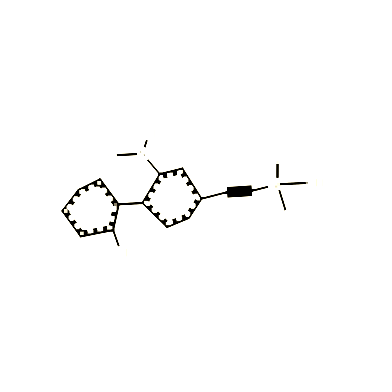 CN(C)c1cc(C#C[Si](C)(C)C)ccc1-c1ccccc1C(F)(F)F